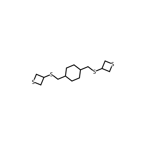 C1CC(CSC2CSC2)CCC1CSC1CSC1